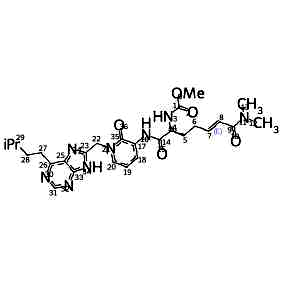 COC(=O)N[C@@H](CC/C=C/C(=O)N(C)C)C(=O)Nc1cccn(Cc2nc3c(CCC(C)C)ncnc3[nH]2)c1=O